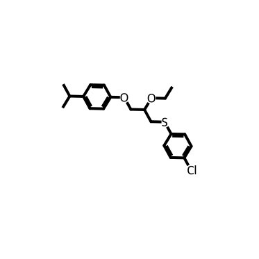 CCOC(COc1ccc(C(C)C)cc1)CSc1ccc(Cl)cc1